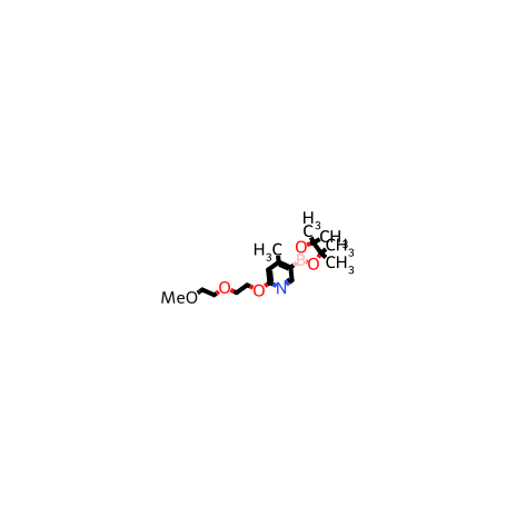 COCCOCCOc1cc(C)c(B2OC(C)(C)C(C)(C)O2)cn1